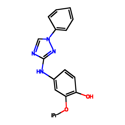 CC(C)Oc1cc(Nc2ncn(-c3ccccc3)n2)ccc1O